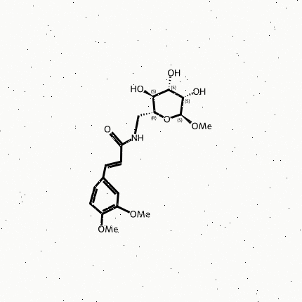 COc1ccc(C=CC(=O)NC[C@H]2O[C@H](OC)[C@@H](O)[C@@H](O)[C@@H]2O)cc1OC